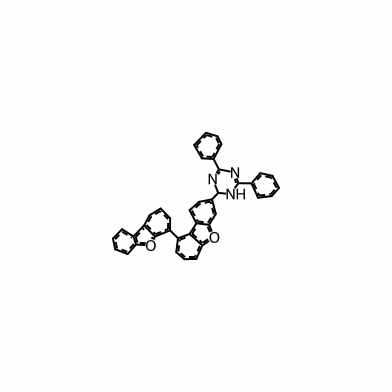 c1ccc(C2=NC(c3ccc4c(c3)oc3cccc(-c5cccc6c5oc5ccccc56)c34)NC(c3ccccc3)=N2)cc1